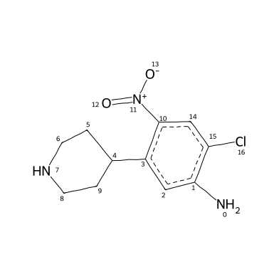 Nc1cc(C2CCNCC2)c([N+](=O)[O-])cc1Cl